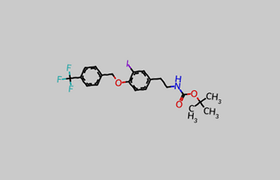 CC(C)(C)OC(=O)NCCc1ccc(OCc2ccc(C(F)(F)F)cc2)c(I)c1